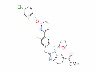 COC(=O)c1ccc2nc(Cc3ccc(-c4cccc(OCc5ccc(Cl)cc5F)n4)c(F)c3)n(C[C@@H]3CCCO3)c2c1